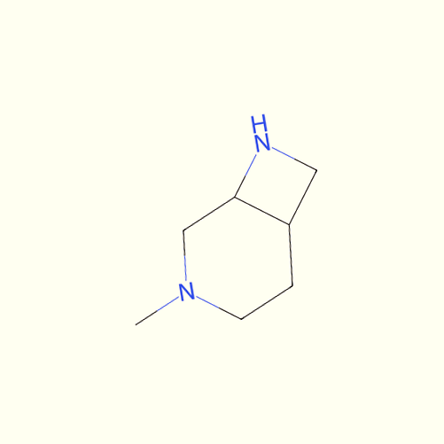 CN1CCC2CNC2C1